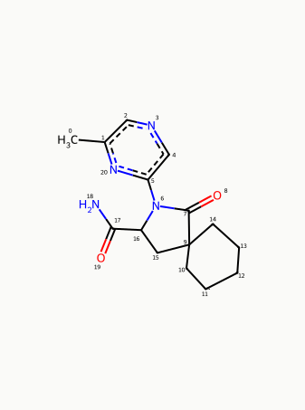 Cc1cncc(N2C(=O)C3(C[CH]CCC3)CC2C(N)=O)n1